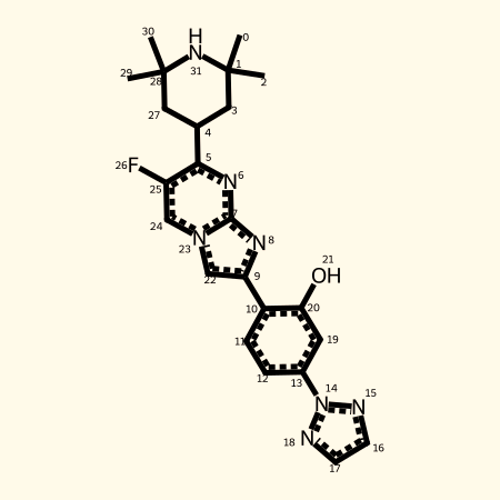 CC1(C)CC(c2nc3nc(-c4ccc(-n5nccn5)cc4O)cn3cc2F)CC(C)(C)N1